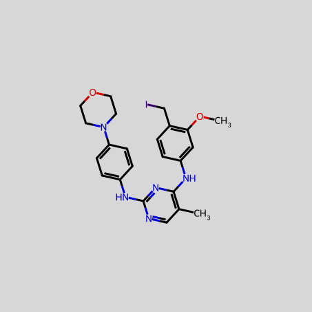 COc1cc(Nc2nc(Nc3ccc(N4CCOCC4)cc3)ncc2C)ccc1CI